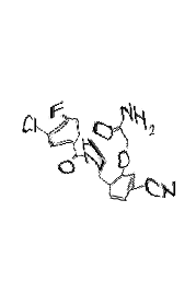 N#Cc1ccc(CNC(=O)c2ccc(F)c(Cl)c2)c(OCC(N)=O)c1